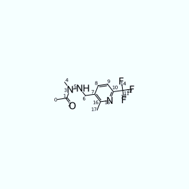 CC(=O)N(C)NCc1ccc(C(F)(F)F)nc1C